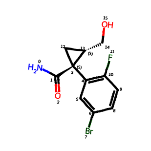 NC(=O)[C@@]1(c2cc(Br)ccc2F)C[C@@H]1CO